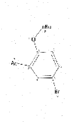 CCCCOc1ccc(Br)cc1C(C)=O